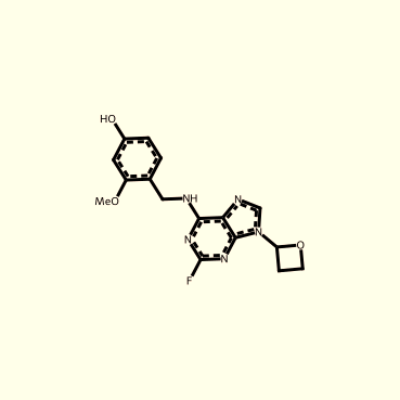 COc1cc(O)ccc1CNc1nc(F)nc2c1ncn2C1CCO1